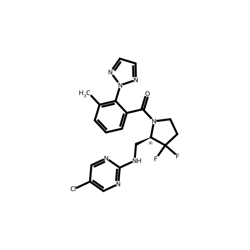 Cc1cccc(C(=O)N2CCC(F)(F)[C@H]2CNc2ncc(Cl)cn2)c1-n1nccn1